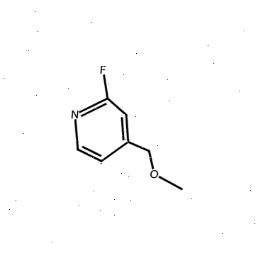 COCc1[c]cnc(F)c1